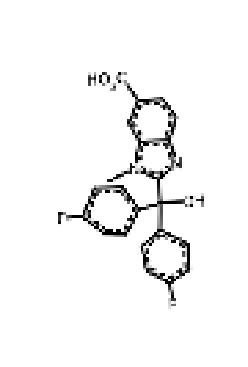 Cn1c(C(O)(c2ccc(F)cc2)c2ccc(F)cc2)nc2ccc(C(=O)O)cc21